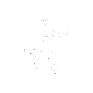 O=C(O)N1CCC(N(c2ccccc2)S(=O)(=O)c2ccc(C(F)(F)F)cc2)CC1.O=C(O)N1CCC(n2c(=O)[nH]c3ccccc32)C[C@@H]1CCCN(Cc1ccccc1)Cc1ccc(F)cc1